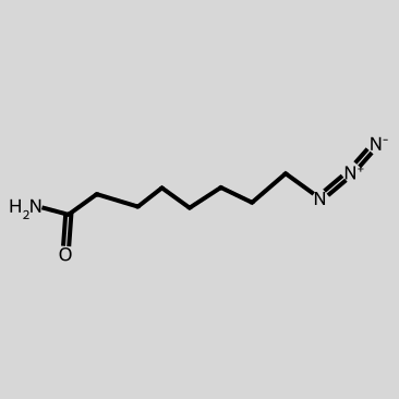 [N-]=[N+]=NCCCCCCCC(N)=O